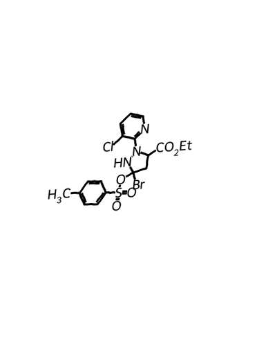 CCOC(=O)C1CC(Br)(OS(=O)(=O)c2ccc(C)cc2)NN1c1ncccc1Cl